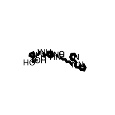 C[C@H](CN1CCC[C@H]1B(O)O)NC(=O)c1ccc(NNC(=O)CCCCCN(Cc2ccccn2)Cc2ccccn2)cc1